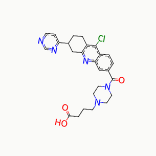 O=C(O)CCCN1CCN(C(=O)c2ccc3c(Cl)c4c(nc3c2)CC(c2ccncn2)CC4)CC1